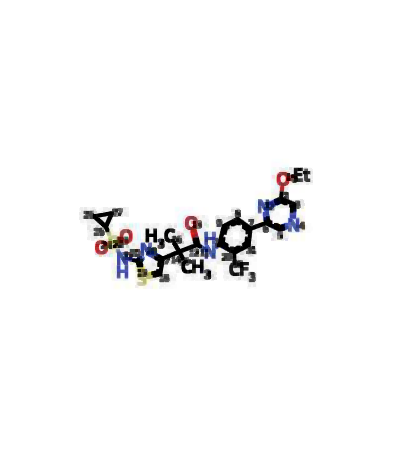 CCOc1cncc(-c2ccc(NC(=O)C(C)(C)c3csc(NS(=O)(=O)C4CC4)n3)c(C(F)(F)F)c2)n1